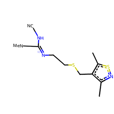 CN/C(=N/CCSCc1c(C)nsc1C)NC#N